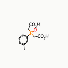 Cc1cccc(P(=O)(CC(=O)O)CC(=O)O)c1